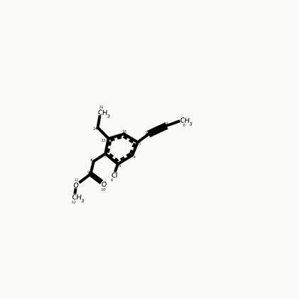 CC#Cc1cc(Cl)c(CC(=O)OC)c(CC)c1